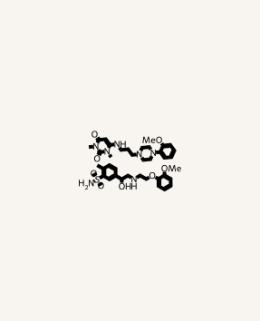 COc1ccccc1N1CCN(CCCNc2cc(=O)n(C)c(=O)n2C)CC1.COc1ccccc1OCCNCC(O)c1ccc(C)c(S(N)(=O)=O)c1